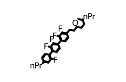 CCCc1ccc(-c2ccc(-c3ccc(CCC4CCC(CCC)CO4)c(F)c3F)c(F)c2F)c(F)c1